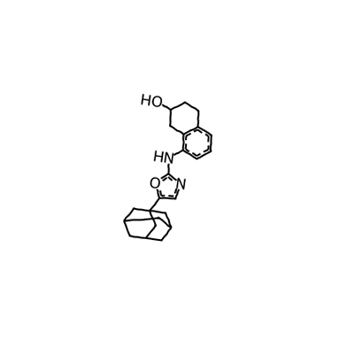 OC1CCc2cccc(Nc3ncc(C45CC6CC(CC(C6)C4)C5)o3)c2C1